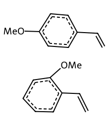 C=Cc1ccc(OC)cc1.C=Cc1ccccc1OC